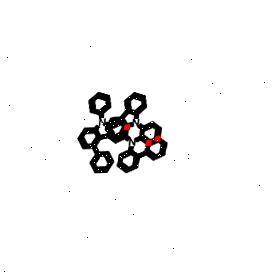 c1ccc(-c2ccccc2N(c2ccc3c(c2)c2c(-c4ccccc4)cccc2n3-c2ccccc2)c2ccccc2-n2c3ccccc3c3ccccc32)cc1